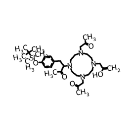 C=C(O)CN1CCN(CC(C)=O)CCN(C(Cc2ccc(O[Si](C)(C)C(C)(C)C)cc2)C(C)=O)CCN(CC(C)=O)CC1